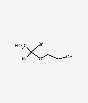 O=C(O)C(Br)(Br)OCCO